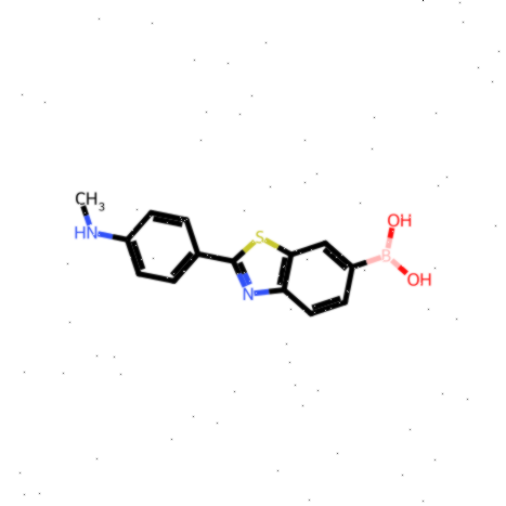 CNc1ccc(-c2nc3ccc(B(O)O)cc3s2)cc1